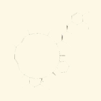 COC1CC(/C=C(C)/C=C(\C)C2CC(O)CCC(C)/C=C/C(O)C/C=C/CC(C)C3OC(O)(CC(=O)N4CCCCC4C(=O)O2)C(C)CC3C)C=CC1O